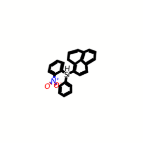 O=[N+]([O-])c1ccccc1[SiH](c1ccccc1)c1ccc2cccc3c2c1CC=C3